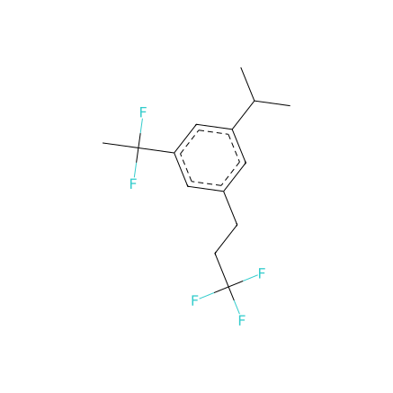 CC(C)c1cc(CCC(F)(F)F)cc(C(C)(F)F)c1